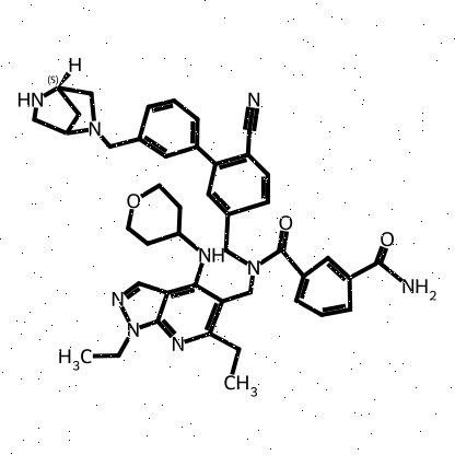 CCc1nc2c(cnn2CC)c(NC2CCOCC2)c1CN(Cc1ccc(C#N)c(-c2cccc(CN3C[C@@H]4CC3CN4)c2)c1)C(=O)c1cccc(C(N)=O)c1